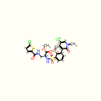 COC(=O)[C@H](CNC(=O)c1ccc(Cl)s1)NS(=O)(=O)c1cccc(-c2cc(Cl)cn(C)c2=O)c1OC